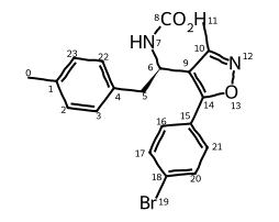 Cc1ccc(C[C@@H](NC(=O)O)c2c(C)noc2-c2ccc(Br)cc2)cc1